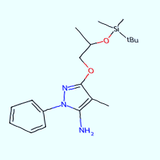 Cc1c(OCC(C)O[Si](C)(C)C(C)(C)C)nn(-c2ccccc2)c1N